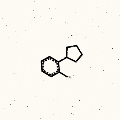 CC(C)c1ccccc1[C]1CCCC1